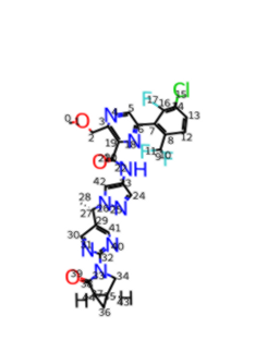 COCc1ncc(-c2c(C(F)F)ccc(Cl)c2F)nc1C(=O)Nc1cnn([C@@H](C)c2cnc(N3C[C@H]4C[C@H]4C3=O)nc2)c1